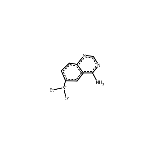 CC[S+]([O-])c1ccc2ncnc(N)c2c1